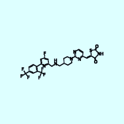 O=C1NC(=O)/C(=C/c2ccnc(N3CCC(CNCc4cc(F)cc(-c5ccc(C(F)(F)F)cc5C(F)(F)F)n4)CC3)n2)S1